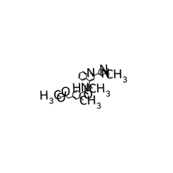 COC(=O)Cc1ccc(C(=O)N[C@H](C)c2cc(-c3cnn(C)c3)nc3ccccc23)c(C)c1